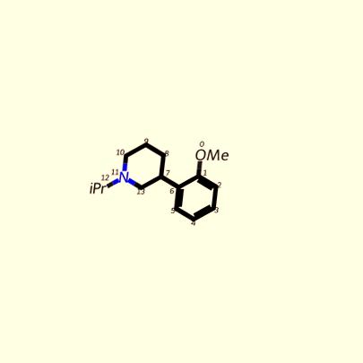 COc1ccccc1C1CCCN(C(C)C)C1